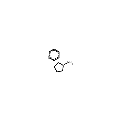 NN1CCCC1.c1ccncc1